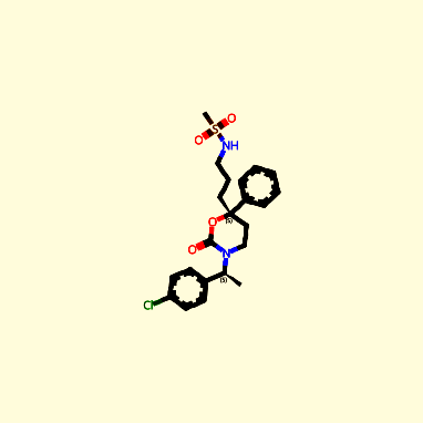 C[C@@H](c1ccc(Cl)cc1)N1CC[C@@](CCCNS(C)(=O)=O)(c2ccccc2)OC1=O